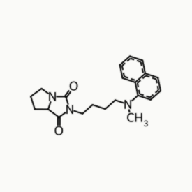 CN(CCCCN1C(=O)C2CCCN2C1=O)c1cccc2ccccc12